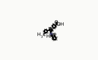 Cc1cccc(-c2nn(-c3ccc(C(=O)O)cc3)cc2/C=N/Nc2ccccc2F)c1